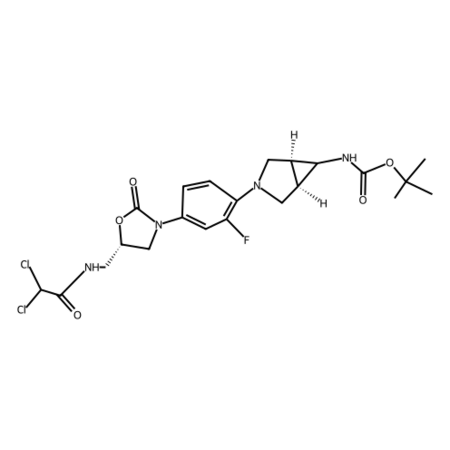 CC(C)(C)OC(=O)NC1[C@H]2CN(c3ccc(N4C[C@H](CNC(=O)C(Cl)Cl)OC4=O)cc3F)C[C@@H]12